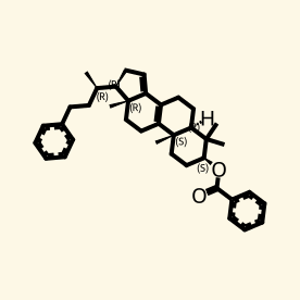 C[C@H](CCc1ccccc1)[C@H]1CC=C2C3=C(CC[C@@]21C)[C@@]1(C)CC[C@H](OC(=O)c2ccccc2)C(C)(C)[C@@H]1CC3